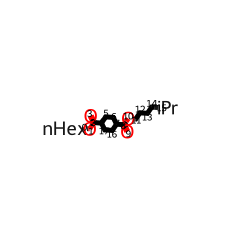 CCCCCCOC(=O)C1CCC(C(=O)OCCCCC(C)C)CC1